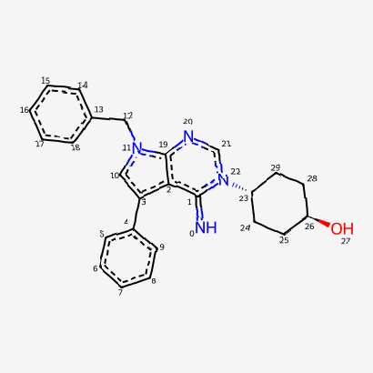 N=c1c2c(-c3ccccc3)cn(Cc3ccccc3)c2ncn1[C@H]1CC[C@H](O)CC1